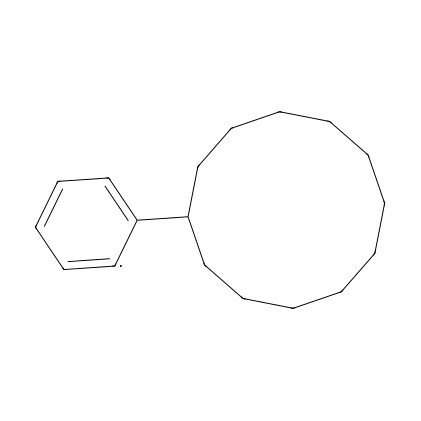 [c]1ccccc1C1CCCCCCCCCCC1